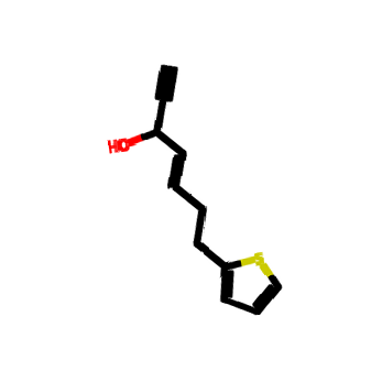 C#CC(O)C=CCCc1cccs1